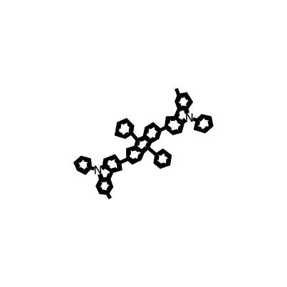 Cc1ccc2c(c1)c1cc(-c3ccc4c(-c5ccccc5)c5cc(-c6ccc7c(c6)c6cc(C)ccc6n7-c6ccccc6)ccc5c(-c5ccccc5)c4c3)ccc1n2-c1ccccc1